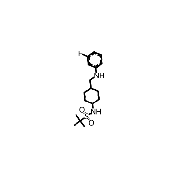 CC(C)(C)S(=O)(=O)NC1CCC(CNc2cccc(F)c2)CC1